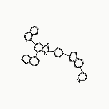 c1cncc(-c2ccc3ccc(-c4ccc(-c5nc6c(-c7cccc8ccccc78)cc(-c7cccc8ccccc78)cc6s5)cc4)cc3c2)c1